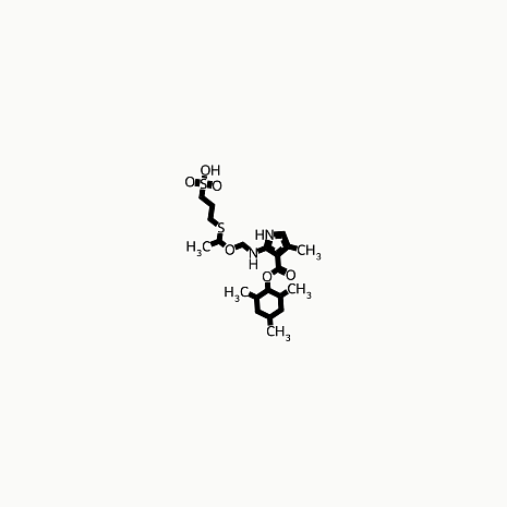 Cc1c[nH]c(NCOC(C)SCCCS(=O)(=O)O)c1C(=O)OC1C(C)CC(C)CC1C